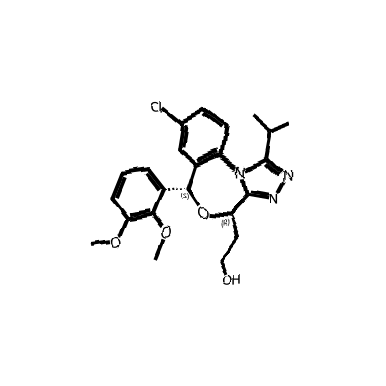 COc1cccc([C@H]2O[C@H](CCO)c3nnc(C(C)C)n3-c3ccc(Cl)cc32)c1OC